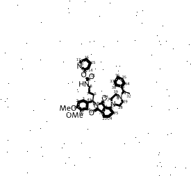 COc1ccc([C@@H](CCCNC(=O)Oc2ccccn2)N2C(=O)c3cccc(N4CCN([C@H](C)c5ccccc5)CC4)c3C2=O)cc1OC